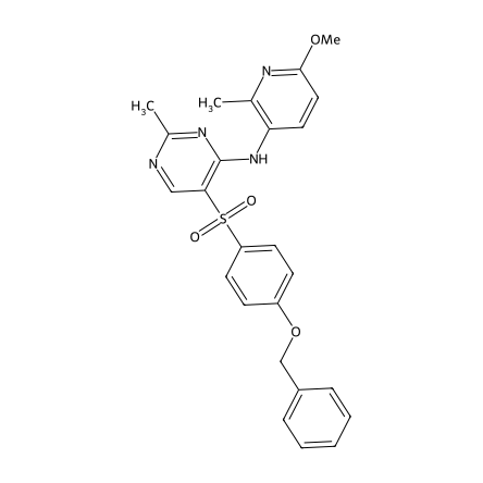 COc1ccc(Nc2nc(C)ncc2S(=O)(=O)c2ccc(OCc3ccccc3)cc2)c(C)n1